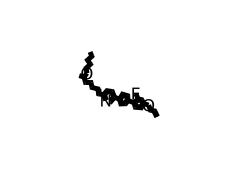 C=CCOc1ccc(-c2ccc(-c3ccc(C=CCCCC(C)OCCCCC)nc3)cc2)c(F)c1